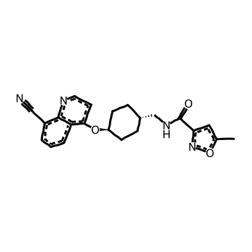 Cc1cc(C(=O)NC[C@H]2CC[C@H](Oc3ccnc4c(C#N)cccc34)CC2)no1